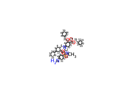 CN(CC(=O)N(Cc1ccc(C2CCCCC2)cc1)c1ccc(C(=O)OCc2ccccc2)c(OCc2ccccc2)c1)S(=O)(=O)c1ccc(N)cc1